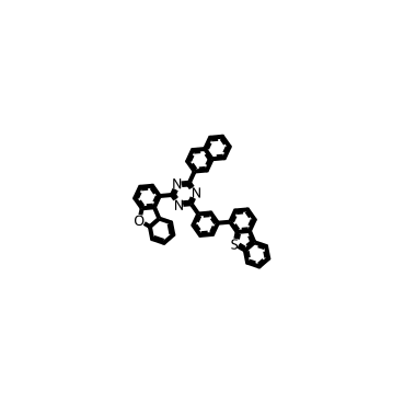 C1=CC2Oc3cccc(-c4nc(-c5cccc(-c6cccc7c6sc6ccccc67)c5)nc(-c5ccc6ccccc6c5)n4)c3C2C=C1